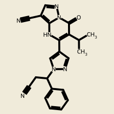 CC(C)c1c(-c2cnn(C(CC#N)c3ccccc3)c2)[nH]c2c(C#N)cnn2c1=O